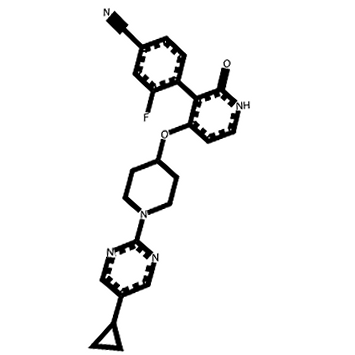 N#Cc1ccc(-c2c(OC3CCN(c4ncc(C5CC5)cn4)CC3)cc[nH]c2=O)c(F)c1